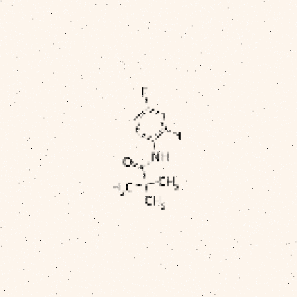 CC(C)(C)C(=O)Nc1ccc(F)cc1F